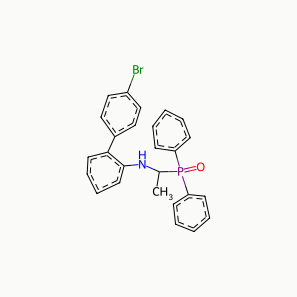 CC(Nc1ccccc1-c1ccc(Br)cc1)P(=O)(c1ccccc1)c1ccccc1